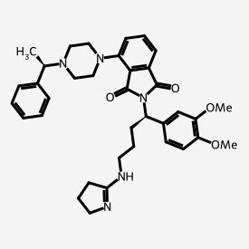 COc1ccc([C@@H](CCCNC2=NCCC2)N2C(=O)c3cccc(N4CCN([C@H](C)c5ccccc5)CC4)c3C2=O)cc1OC